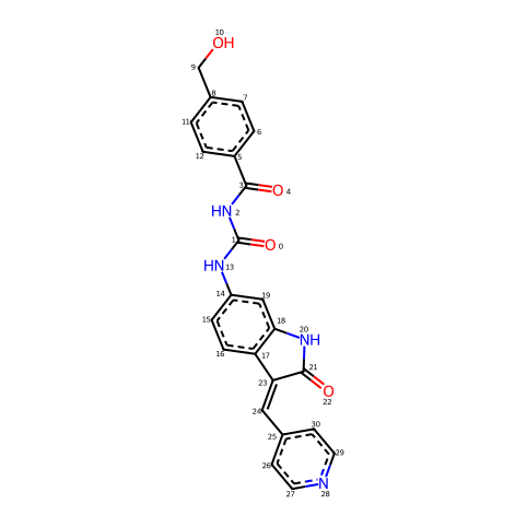 O=C(NC(=O)c1ccc(CO)cc1)Nc1ccc2c(c1)NC(=O)/C2=C\c1ccncc1